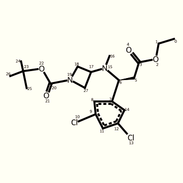 CCOC(=O)C[C@@H](c1cc(Cl)cc(Cl)c1)N(C)C1CN(C(=O)OC(C)(C)C)C1